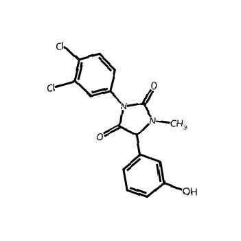 CN1C(=O)N(c2ccc(Cl)c(Cl)c2)C(=O)C1c1cccc(O)c1